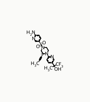 CC#C[C@H]1CN(S(=O)(=O)c2ccc(N)nc2)CCN1c1ccc(C(C)(O)C(F)(F)F)cn1